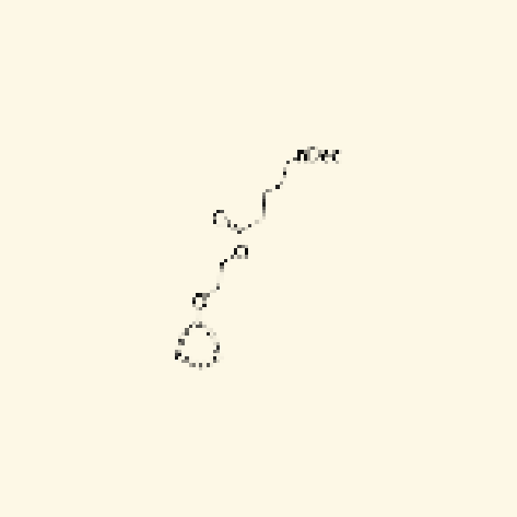 CCCCCCCCCCCCCCC(=O)OCCOc1ccccc1